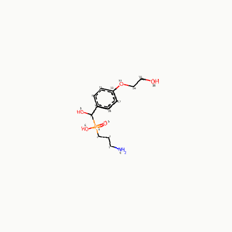 NCCCP(=O)(O)C(O)c1ccc(OCCO)cc1